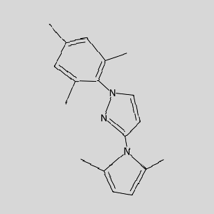 Cc1cc(C)c(-n2ccc(-n3c(C)ccc3C)n2)c(C)c1